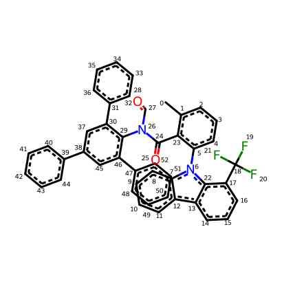 Cc1cccc(-n2c3ccccc3c3cccc(C(F)(F)F)c32)c1C(=O)N(C=O)c1c(-c2ccccc2)cc(-c2ccccc2)cc1-c1ccccc1